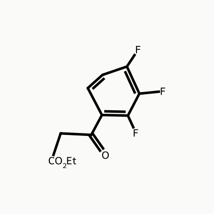 CCOC(=O)CC(=O)c1ccc(F)c(F)c1F